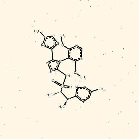 COc1ncnc(OC)c1-n1c(NS(=O)(=O)[C@@H](C)[C@H](C)c2ncc(C)cn2)nnc1-c1nc(C)cs1